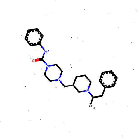 CC(Cc1ccccc1)N1CCC[C@H](CN2CCN(C(=O)Nc3ccccc3)CC2)C1